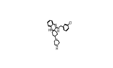 Clc1cccc(CNC2=Nc3ccccc3NC23CCC(N2CCNCC2)CC3)c1